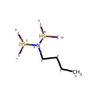 CCCCN([SH](I)I)[SH](I)I